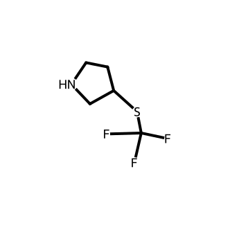 FC(F)(F)SC1CCNC1